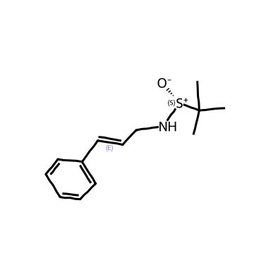 CC(C)(C)[S@@+]([O-])NC/C=C/c1ccccc1